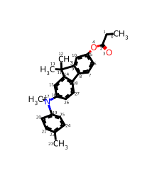 CCC(=O)Oc1ccc2c(c1)C(C)(C)c1cc(N(C)c3ccc(C)cc3)ccc1-2